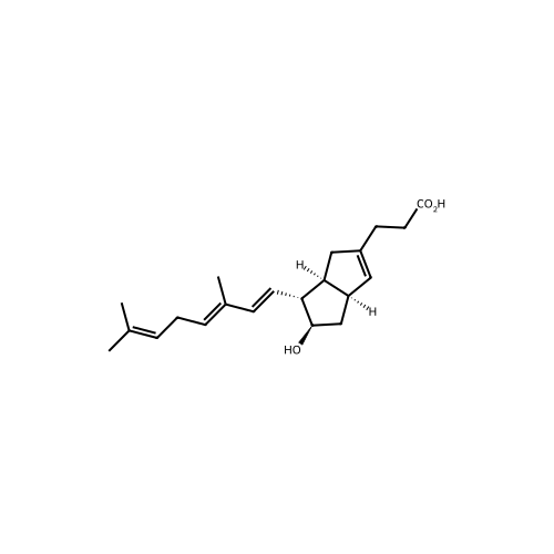 CC(C)=CC/C=C(C)/C=C/[C@@H]1[C@H]2CC(CCC(=O)O)=C[C@H]2C[C@H]1O